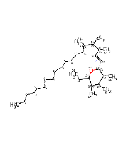 CCCCCCCCCCCCCC[C@@H](C)[C@@H](C)[C@@H](C)/C=C/[C@H]1OC(CC)[C@H](C)C(C)C1C